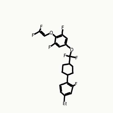 CCc1ccc(C2CCC(C(F)(F)Oc3cc(F)c(OC=C(F)F)c(F)c3)CC2)c(F)c1